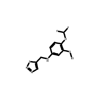 CCOc1cc(NCc2cnns2)ccc1OC(F)F